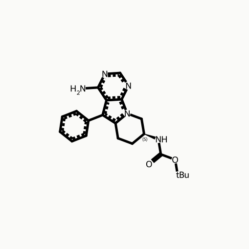 CC(C)(C)OC(=O)N[C@H]1CCc2c(-c3ccccc3)c3c(N)ncnc3n2C1